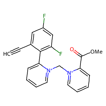 C#Cc1cc(F)cc(F)c1-c1cccc[n+]1C[n+]1ccccc1C(=O)OC